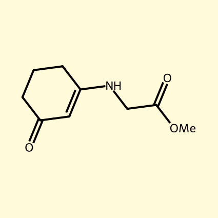 COC(=O)CNC1=CC(=O)CCC1